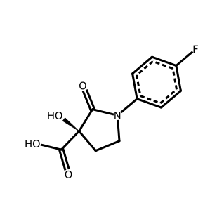 O=C(O)[C@@]1(O)CCN(c2ccc(F)cc2)C1=O